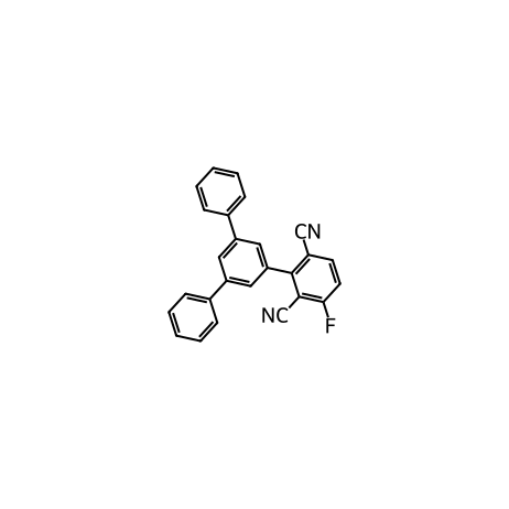 N#Cc1ccc(F)c(C#N)c1-c1cc(-c2ccccc2)cc(-c2ccccc2)c1